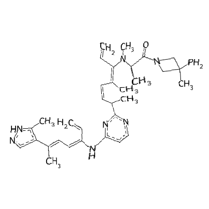 C=C/C(=C\C=C(/C)c1cn[nH]c1C)Nc1ccnc(C(C)/C=C\C(C)=C(/C=C)N(C)C(C)C(=O)N2CC(C)(P)C2)n1